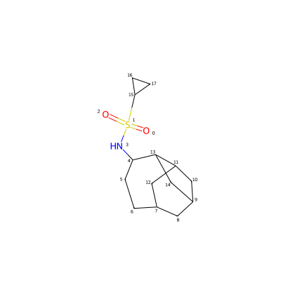 O=S(=O)(NC1CCC2CC3CC(C2)C1C3)C1CC1